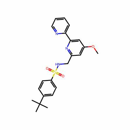 COc1cc(CNS(=O)(=O)c2ccc(C(C)(C)C)cc2)nc(-c2ccccn2)c1